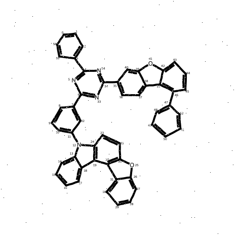 c1ccc(-c2nc(-c3cccc(-n4c5ccccc5c5c6c(ccc54)oc4ccccc46)c3)nc(-c3ccc4c(c3)oc3cccc(-c5ccccc5)c34)n2)cc1